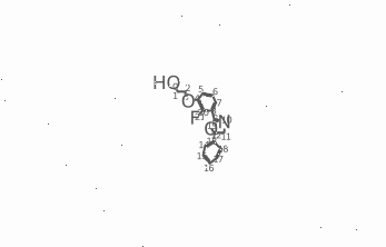 OCCOc1cccc(C2=NC[C@@H](c3ccccc3)O2)c1F